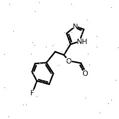 O=COC(Cc1ccc(F)cc1)c1cnc[nH]1